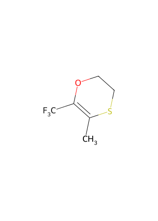 CC1=C(C(F)(F)F)OCCS1